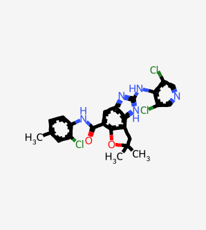 Cc1ccc(NC(=O)c2cc3nc(Nc4c(Cl)cncc4Cl)[nH]c3c3c2OC(C)(C)C3)c(Cl)c1